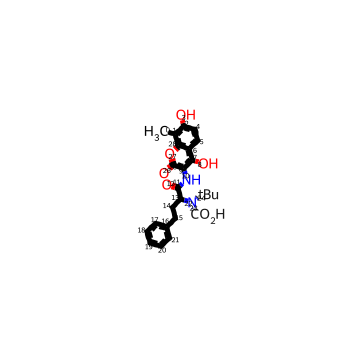 Cc1c(O)ccc2c(O)c(NC(=O)C(CCc3ccccc3)N(C(=O)O)C(C)(C)C)c(=O)oc12